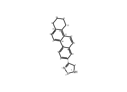 C1=NSNC1.c1ccc2c(c1)ccc1c3c(ccc12)CCCC3